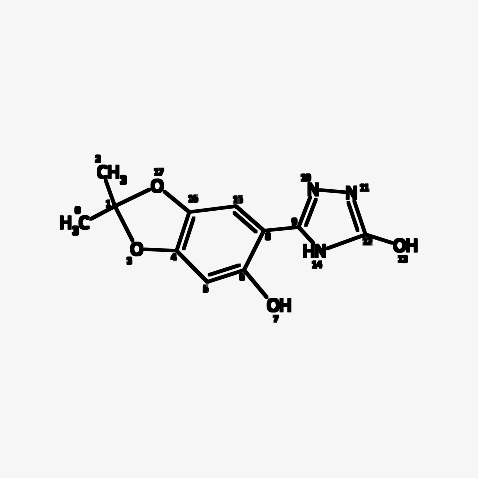 CC1(C)Oc2cc(O)c(-c3nnc(O)[nH]3)cc2O1